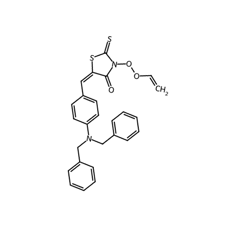 C=COON1C(=O)/C(=C\c2ccc(N(Cc3ccccc3)Cc3ccccc3)cc2)SC1=S